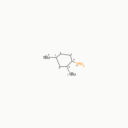 CC(C)(C)C1CCC(P)C(C(C)(C)C)C1